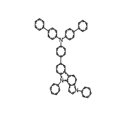 c1ccc(-c2ccc(N(c3ccc(-c4ccccc4)cc3)c3ccc(-c4ccc5c(c4)c4ccc6c(ccn6-c6ccccc6)c4n5-c4ccccc4)cc3)cc2)cc1